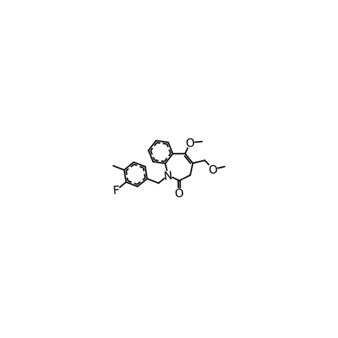 COCC1=C(OC)c2ccccc2N(Cc2ccc(C)c(F)c2)C(=O)C1